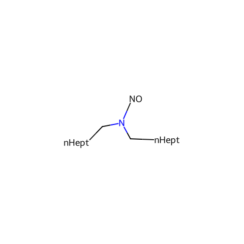 CCCCCCCCN(CCCCCCCC)N=O